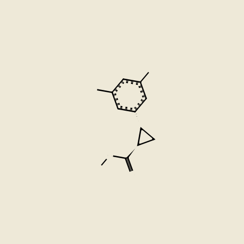 COC(=O)[C@@H]1C[C@H]1c1cc(Cl)cc(Br)c1